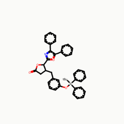 CC(C)(C)[Si](Oc1cccc(CC2CC(=O)OC2c2nc(-c3ccccc3)c(-c3ccccc3)o2)c1)(c1ccccc1)c1ccccc1